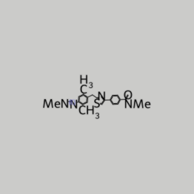 CN/C=N/c1cc(C)c(Cc2nc(-c3ccc(C(=O)NC)cc3)cs2)cc1C